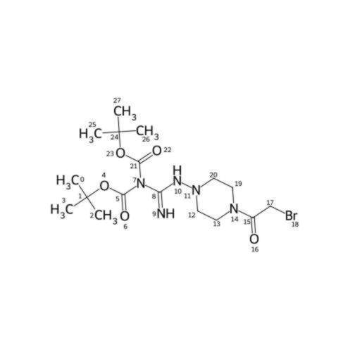 CC(C)(C)OC(=O)N(C(=N)NN1CCN(C(=O)CBr)CC1)C(=O)OC(C)(C)C